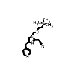 C[Si](C)(C)CCOCn1cc(Cc2ccncc2)nc1CC#N